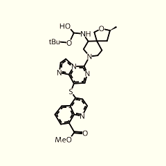 COC(=O)c1cccc2c(Sc3cnc(N4CCC5(CO[C@@H](C)C5)C(NC(O)OC(C)(C)C)C4)n4ccnc34)ccnc12